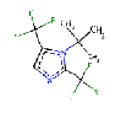 CC(C)(C)n1c(C(F)(F)F)cnc1C(F)(F)F